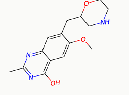 COc1cc2c(O)nc(C)nc2cc1CC1CNCCO1